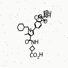 Cc1c(C(=O)N[C@H]2C[C@H](C(=O)O)C2)cc(-c2ccc(S(=O)(=O)NC(C)(C)C)c(C(F)(F)F)c2)n1CC1CCCCC1